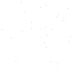 O=[N+]([O-])c1cccc(-c2ccccc2)c1CBr